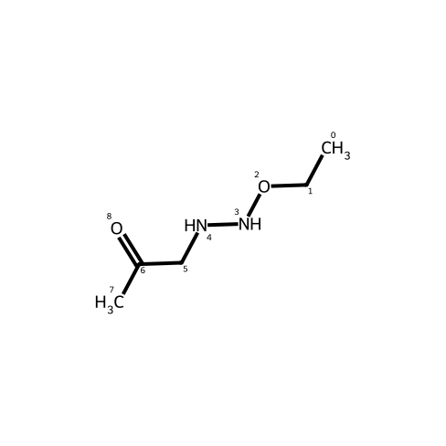 CCONNCC(C)=O